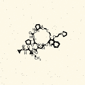 C=C[C@@H]1C[C@]1(NC(=O)[C@@H]1C[C@@H]2CN1C(=O)[C@H](C1CCCC1)NC(=O)O[C@@H]1CCC[C@H]1CCCCCc1c(nc3ccccc3c1OCCN1CCCC1)O2)C(=O)N[S@+]([O-])C1CC1